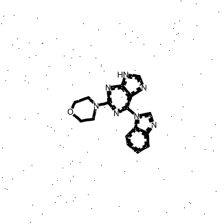 c1ccc2c(c1)ncn2-c1nc(N2CCOCC2)nc2[nH]cnc12